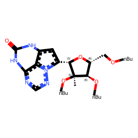 CCCCOC[C@H]1O[C@@H](c2cc3c4c(ncnn24)NC(=O)N3)[C@](C)(OCCCC)[C@@H]1OCCCC